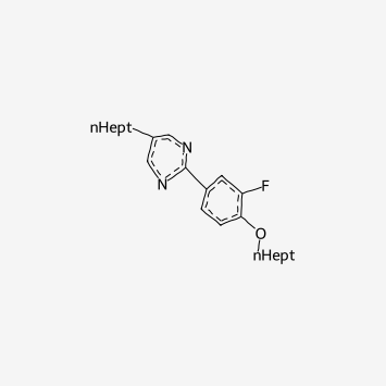 CCCCCCCOc1ccc(-c2ncc(CCCCCCC)cn2)cc1F